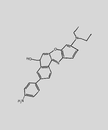 CCN(CC)c1ccc2c(c1)OC1=CC(O)c3cc(-c4ccc(N)cc4)ccc3C1=N2